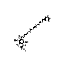 CC(=O)N[C@@H]1[C@@H](O)[C@@H](O)[C@@](C)(COCCOCCOCCOCCOCc2ccccc2)O[C@@H]1O